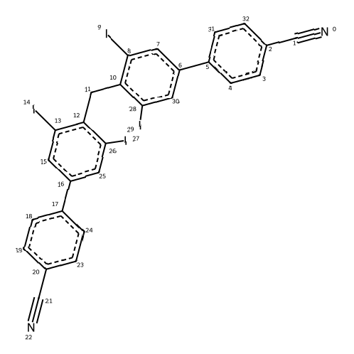 N#Cc1ccc(-c2cc(I)c(Cc3c(I)cc(-c4ccc(C#N)cc4)cc3I)c(I)c2)cc1